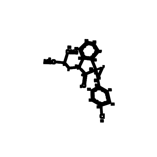 COC(CN1C(=O)[C@@]2(C[C@H]2c2ccc(Cl)cc2)c2ccccc21)OC